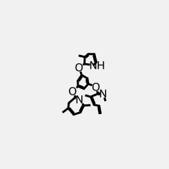 C=C/C=C(C)\C(=N/C)Oc1cc(OC2=NC(C)=CC=C(C)C2)cc(OC2NC=CC=C2C)c1